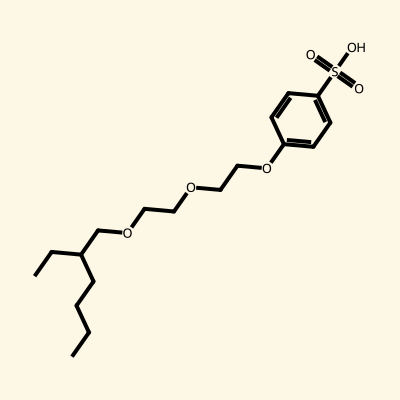 CCCCC(CC)COCCOCCOc1ccc(S(=O)(=O)O)cc1